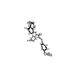 CC(C)COc1ccc(CNC(=O)N(Cc2cccc3[nH]cnc23)C2CCNCC2)cc1